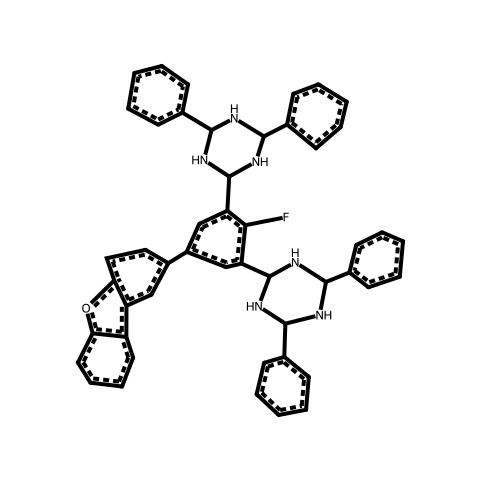 Fc1c(C2NC(c3ccccc3)NC(c3ccccc3)N2)cc(-c2ccc3oc4ccccc4c3c2)cc1C1NC(c2ccccc2)NC(c2ccccc2)N1